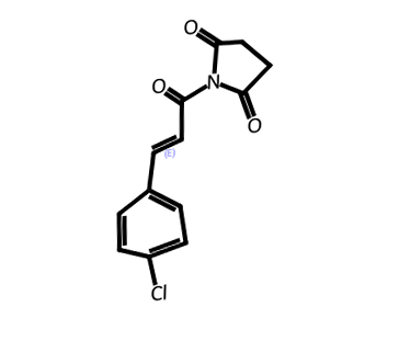 O=C(/C=C/c1ccc(Cl)cc1)N1C(=O)CCC1=O